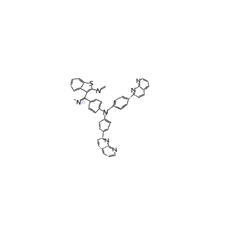 C=Nc1sc2ccccc2c1/C(=N\C)c1ccc(N(c2ccc(-c3ccc4cccnc4n3)cc2)c2ccc(-c3ccc4cccnc4n3)cc2)cc1